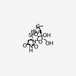 CC(C)(C)[Si](C)(C)O[C@H]1[C@H](n2ccc(=O)[nH]c2=O)O[C@H](CO)[C@]1(O)C#C[Si](C)(C)C